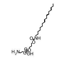 CCC=CCC=CCC=CCCCCCCCNC(=O)OCCCOP(=O)(O)OCCN